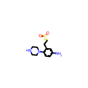 Nc1ccc(N2CCNCC2)c(CC[SH](=O)=O)c1